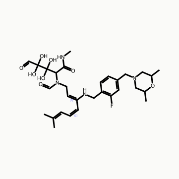 CNC(=O)C(N(C=O)C/C=C(/C=C\C=C(C)C)NCc1ccc(CN2CC(C)OC(C)C2)cc1F)C(O)(O)C(O)(O)C=O